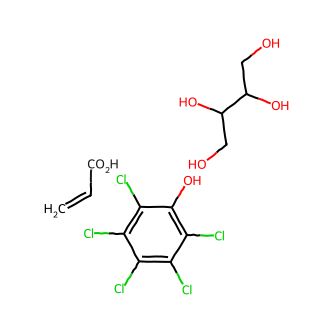 C=CC(=O)O.OCC(O)C(O)CO.Oc1c(Cl)c(Cl)c(Cl)c(Cl)c1Cl